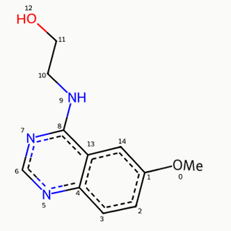 COc1ccc2ncnc(NCCO)c2c1